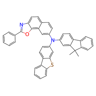 CC1(C)c2ccccc2-c2ccc(N(c3ccc4c(c3)sc3ccccc34)c3ccc4ccc5nc(-c6ccccc6)oc5c4c3)cc21